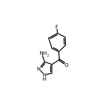 Nc1n[nH]cc1C(=O)c1ccc(F)cc1